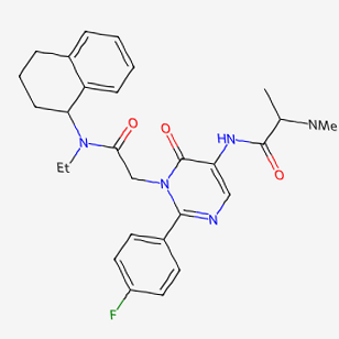 CCN(C(=O)Cn1c(-c2ccc(F)cc2)ncc(NC(=O)C(C)NC)c1=O)C1CCCc2ccccc21